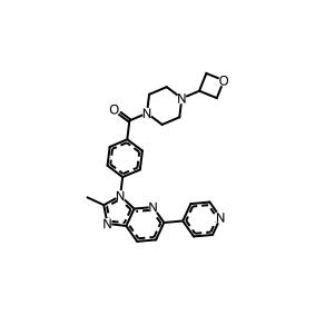 Cc1nc2ccc(-c3ccncc3)nc2n1-c1ccc(C(=O)N2CCN(C3COC3)CC2)cc1